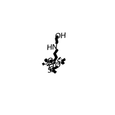 C[Si](C)(C)O[Si](CCCNCCO)(O[Si](C)(C)C)O[Si](C)(C)C